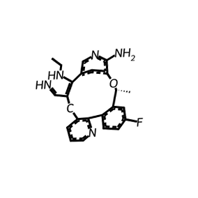 CCN/C1=C(\C=N)Cc2cccnc2-c2ccc(F)cc2[C@@H](C)Oc2cc1cnc2N